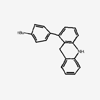 CCCCc1ccc(-c2cccc3c2Cc2ccccc2N3)cc1